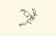 CC[C@H](C)Nc1ncc2c(=O)n(CC34CCC(N(C)C)(CC3)CC4)cc([C@H]3CC[C@H](O)CC3)c2n1